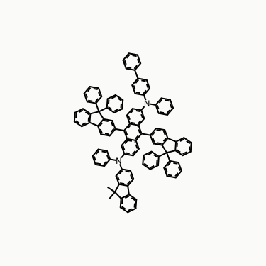 CC1(C)c2ccccc2-c2ccc(N(c3ccccc3)c3ccc4c(-c5ccc6c(c5)C(c5ccccc5)(c5ccccc5)c5ccccc5-6)c5cc(N(c6ccccc6)c6ccc(-c7ccccc7)cc6)ccc5c(-c5ccc6c(c5)C(c5ccccc5)(c5ccccc5)c5ccccc5-6)c4c3)cc21